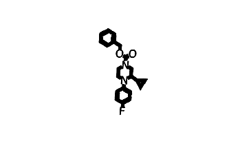 O=C(OCc1ccccc1)N1CCN(c2ccc(F)cc2)C(C2CC2)C1